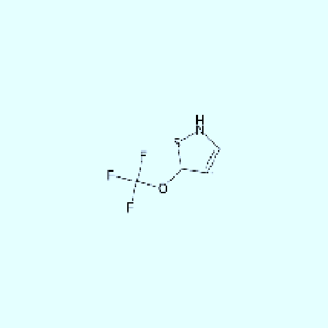 FC(F)(F)OC1[C]=CNS1